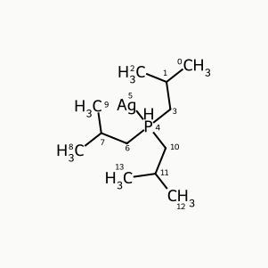 CC(C)C[PH]([Ag])(CC(C)C)CC(C)C